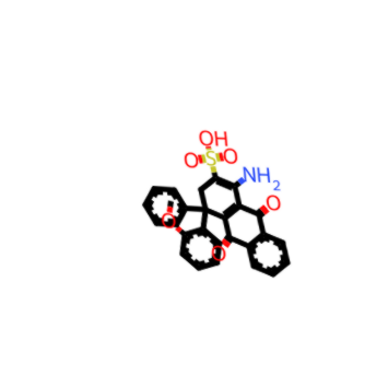 COc1ccccc1C1(c2ccccc2)CC(S(=O)(=O)O)=C(N)C2=C1C(=O)c1ccccc1C2=O